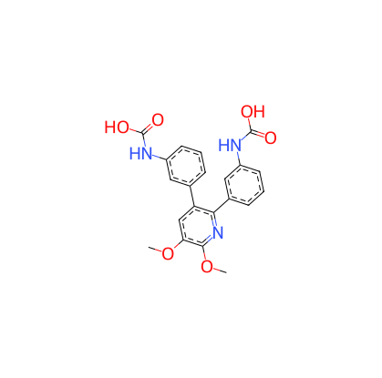 COc1cc(-c2cccc(NC(=O)O)c2)c(-c2cccc(NC(=O)O)c2)nc1OC